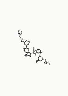 COc1cc(F)cc(-c2nccc3[nH]c(-c4n[nH]c5cnc(-c6cncc(OCCN7CCCC7)c6)cc45)nc23)c1